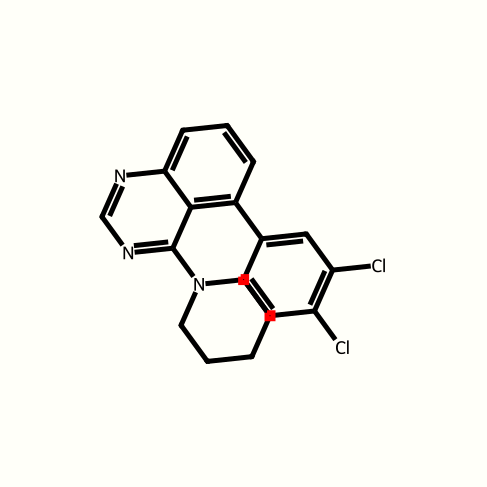 Clc1ccc(-c2cccc3ncnc(N4CCCCC4)c23)cc1Cl